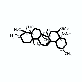 COC1C[C@]2(C)C(=CCC3C4(C)CC[C@H](C)[C@](C)(C=O)[C@@H]4CC[C@@]32C)C2C[C@H](C)CC[C@]12C(=O)O